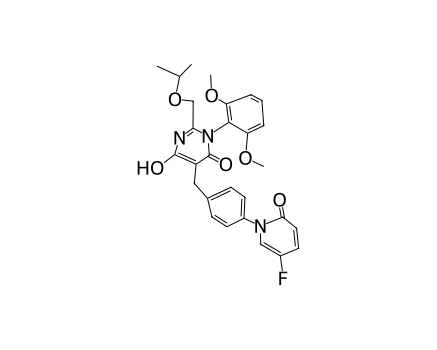 COc1cccc(OC)c1-n1c(COC(C)C)nc(O)c(Cc2ccc(-n3cc(F)ccc3=O)cc2)c1=O